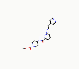 CCOC(=O)N1CCC(NC(=O)c2cccc(NCCc3ccncc3)n2)CC1